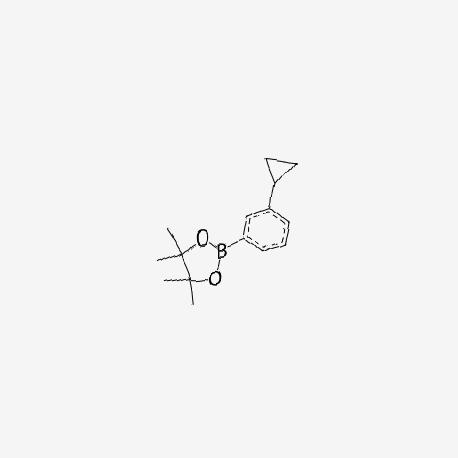 CC1(C)OB(c2cccc(C3CC3)c2)OC1(C)C